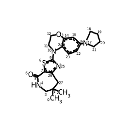 CC1(C)CNC(=O)c2sc(N3CCOc4cc(N5CCCC5)ccc43)nc2C1